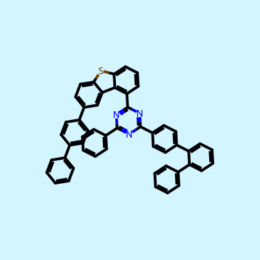 c1ccc(-c2ccc(-c3ccc4sc5cccc(-c6nc(-c7ccccc7)nc(-c7ccc(-c8ccccc8-c8ccccc8)cc7)n6)c5c4c3)cc2)cc1